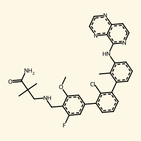 COc1cc(-c2cccc(-c3cccc(Nc4nccc5nccnc45)c3C)c2Cl)cc(F)c1CNCC(C)(C)C(N)=O